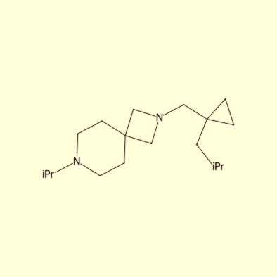 CC(C)CC1(CN2CC3(CCN(C(C)C)CC3)C2)CC1